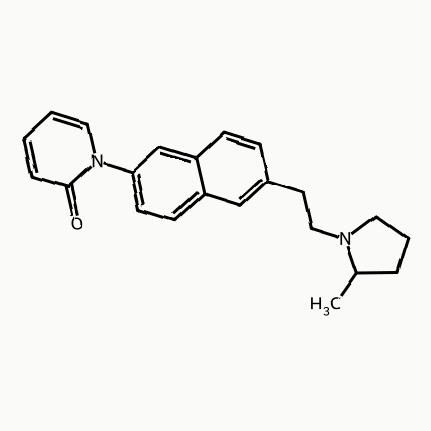 CC1CCCN1CCc1ccc2cc(-n3ccccc3=O)ccc2c1